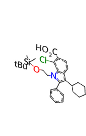 CC(C)(C)[Si](C)(C)OCCn1c(-c2ccccc2)c(C2CCCCC2)c2ccc(C(=O)O)c(Cl)c21